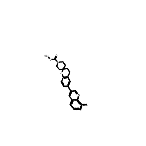 Cc1cccc2cc(-c3ccc4c(c3)CCC3(CCN(C(=O)OC(C)(C)C)CC3)O4)cnc12